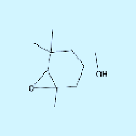 CC1(C)CCCC2(C)OC12.CO